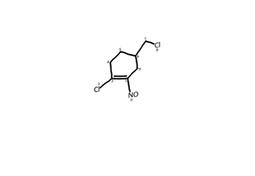 O=NC1=C(Cl)CCC(CCl)C1